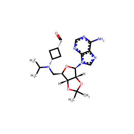 CC(C)N(C[C@H]1O[C@@H](n2cnc3c(N)ncnc32)[C@@H]2OC(C)(C)O[C@@H]21)[C@H]1C[C@@H](C=O)C1